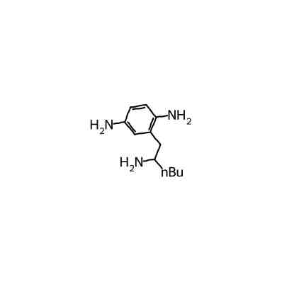 CCCCC(N)Cc1cc(N)ccc1N